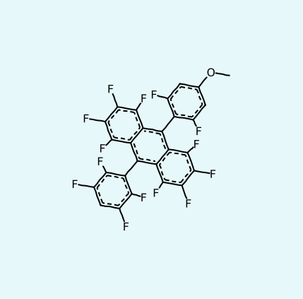 COc1cc(F)c(-c2c3c(F)c(F)c(F)c(F)c3c(-c3c(F)c(F)cc(F)c3F)c3c(F)c(F)c(F)c(F)c23)c(F)c1